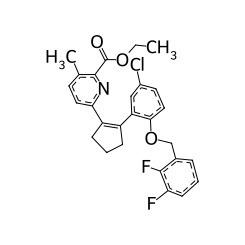 CCOC(=O)c1nc(C2=C(c3cc(Cl)ccc3OCc3cccc(F)c3F)CCC2)ccc1C